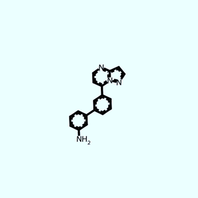 Nc1cccc(-c2cccc(-c3ccnc4ccnn34)c2)c1